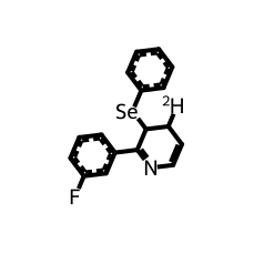 [2H]C1C=CN=C(c2cccc(F)c2)C1[Se]c1ccccc1